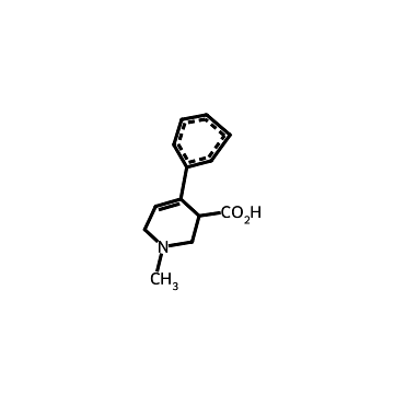 CN1CC=C(c2ccccc2)C(C(=O)O)C1